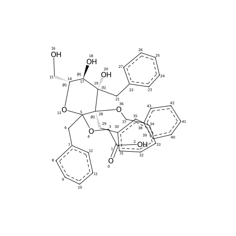 O=C(O)COC1(Cc2ccccc2)O[C@H](CO)[C@@H](O)[C@@](O)(Cc2ccccc2)[C@@]1(Cc1ccccc1)OCc1ccccc1